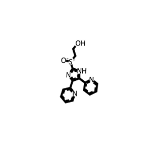 [O-][S+](CCO)c1nc(-c2ccccn2)c(-c2ccccn2)[nH]1